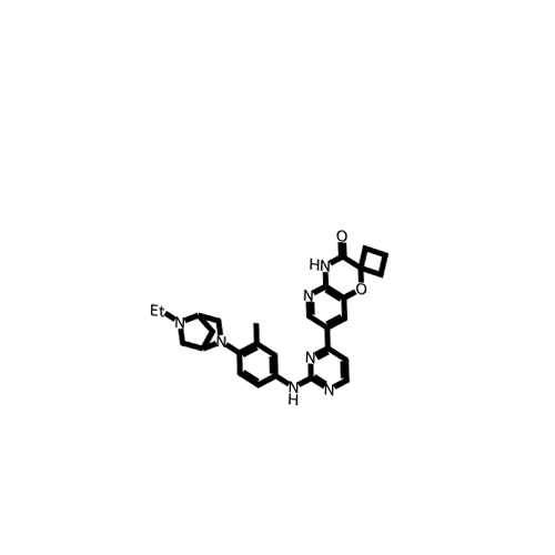 CCN1CC2CC1CN2c1ccc(Nc2nccc(-c3cnc4c(c3)OC3(CCC3)C(=O)N4)n2)cc1C